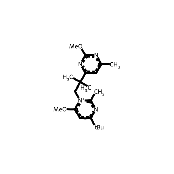 COc1nc(C)cc(C(C)(C)C[n+]2c(OC)cc(C(C)(C)C)nc2C)n1